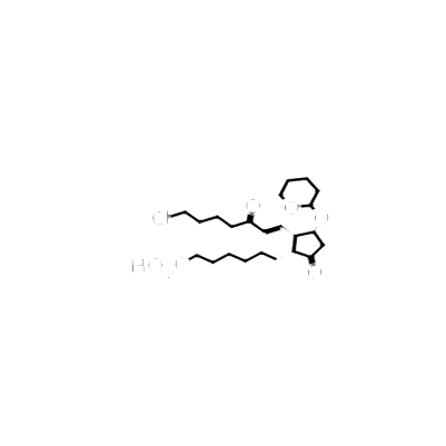 O=C(O)CCCCCC[C@H]1C(=O)C[C@@H](OC2CCCCO2)[C@@H]1C=CC(=O)CCCCCl